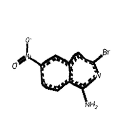 Nc1nc(Br)cc2cc([N+](=O)[O-])ccc12